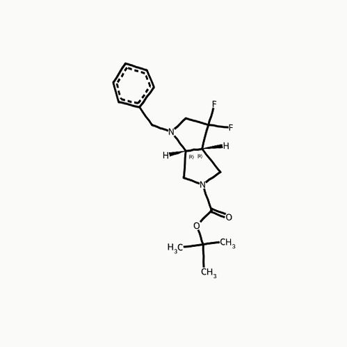 CC(C)(C)OC(=O)N1C[C@@H]2[C@H](C1)N(Cc1ccccc1)CC2(F)F